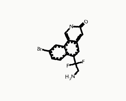 NCC(F)(F)c1cc2c(c3cc(Br)ccc13)=C[N]C(=O)C=2